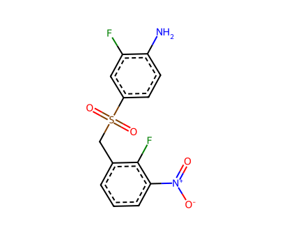 Nc1ccc(S(=O)(=O)Cc2cccc([N+](=O)[O-])c2F)cc1F